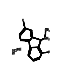 C[SiH2]C1c2cc(F)ccc2-c2cccc(F)c21.Cl.Cl.[Zr]